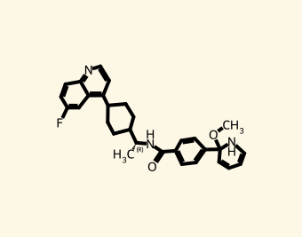 COC1(c2ccc(C(=O)N[C@H](C)C3CCC(c4ccnc5ccc(F)cc45)CC3)cc2)C=CC=CN1